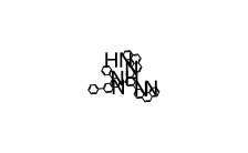 C1=Cc2ccc3ccc(-c4cc(C5=Nc6ccc(-c7ccccc7)cc6C(c6ccccc6)N5)cc(-c5ccc6ccc7cccnc7c6n5)c4)nc3c2NC1